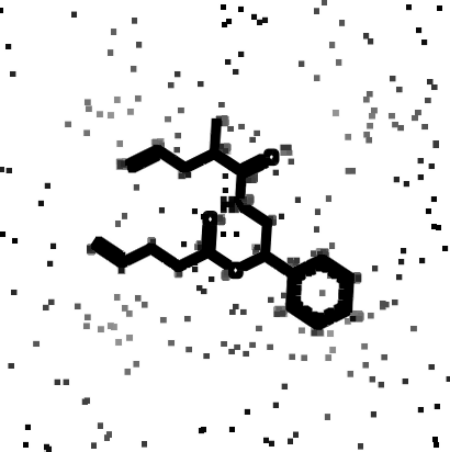 C=CCCC(=O)OC(CNC(=O)C(C)CC=C)c1ccccc1